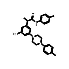 Cc1ccc(NC(=O)C(C)c2cc(O)cc(N3CCN(c4ccc(C)cc4)CC3)c2)cc1